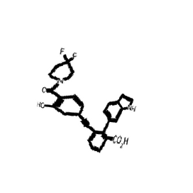 O=C(O)c1cccc(C#Cc2ccc(C(=O)N3CCC(F)(F)CC3)c(O)c2)c1-c1ccc2cc[nH]c2c1